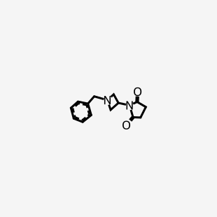 O=C1CCC(=O)N1C1CN(Cc2ccccc2)C1